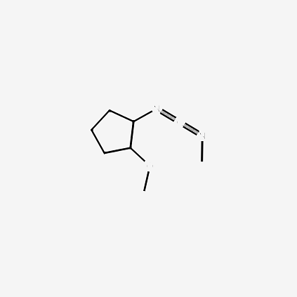 CN=C=NC1CCCC1OC